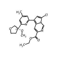 CCOC(=O)c1cc2c(-c3cc(C)cc([C@@]4(OC)CCOC4)n3)cc(Cl)n2cn1